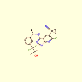 C[C@@H](Nc1ncnc2nc(Cl)c(C3(C#N)CC3)cc12)c1cccc(C(F)(F)C(C)(C)O)c1